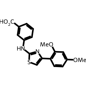 COc1ccc(-c2csc(Nc3cccc(C(=O)O)c3)n2)c(OC)c1